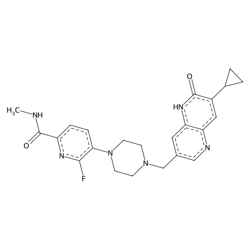 CNC(=O)c1ccc(N2CCN(Cc3cnc4cc(C5CC5)c(=O)[nH]c4c3)CC2)c(F)n1